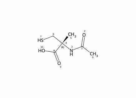 CC(=O)N[C@@](C)(CS)C(=O)O